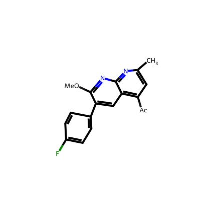 COc1nc2nc(C)cc(C(C)=O)c2cc1-c1ccc(F)cc1